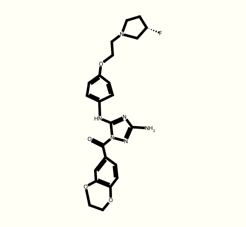 Nc1nc(Nc2ccc(OCCN3CC[C@H](F)C3)cc2)n(C(=O)c2ccc3c(c2)OCCO3)n1